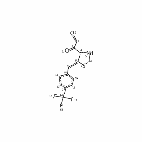 O=CC(=O)C1NCSC1=Cc1ccc(C(F)(F)F)cc1